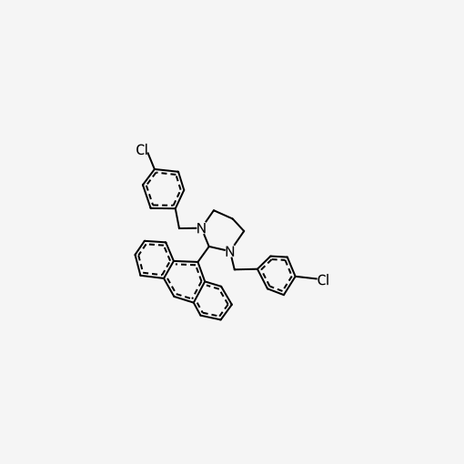 Clc1ccc(CN2CCCN(Cc3ccc(Cl)cc3)C2c2c3ccccc3cc3ccccc23)cc1